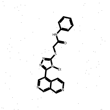 CCn1c(SCC(=O)Nc2ccccc2)nnc1-c1cncc2cnccc12